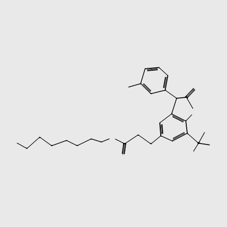 CCCCCCCCOC(=O)CCc1cc2c(c(C(C)(C)C)c1)OC(=O)C2c1cccc(C)c1